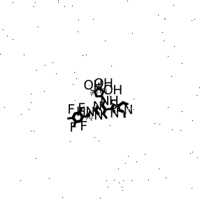 Cc1nc(N[C@H](C)c2c(F)c(F)c(C)c(F)c2F)nc(NC2C[C@H](CO)[C@@H](O)[C@H]2O)c1-c1nc2c(C)nccc2s1